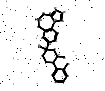 Cc1ccccc1C1CCC(Cl)(c2ccc3c(c2)CNCc2nncn2-3)CC1C